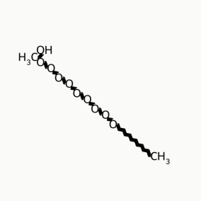 CCCCCCCCCCCCCOCCOCCOCCOCCOCCOCCOCCOCCOC(C)CO